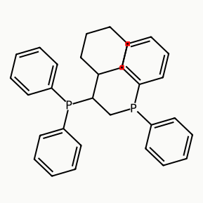 c1ccc(P(CC(C2CCCCC2)P(c2ccccc2)c2ccccc2)c2ccccc2)cc1